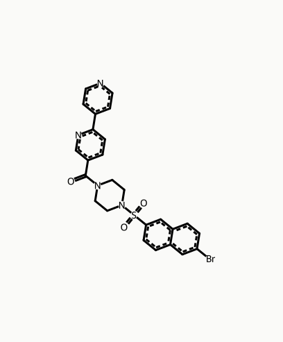 O=C(c1ccc(-c2ccncc2)nc1)N1CCN(S(=O)(=O)c2ccc3cc(Br)ccc3c2)CC1